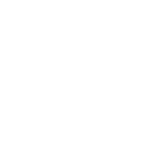 CC(CC(=O)c1ccc(C=NNC(=O)OC(C)(C)C)cc1)C(=O)c1ccc(OCC(=O)O)cc1